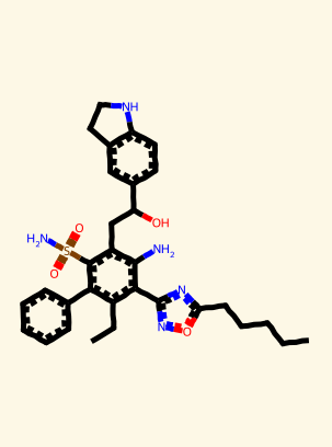 CCCCCc1nc(-c2c(N)c(CC(O)c3ccc4c(c3)CCN4)c(S(N)(=O)=O)c(-c3ccccc3)c2CC)no1